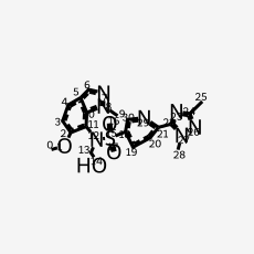 COc1ccc2cnn(C)c2c1N(CO)S(=O)(=O)c1ccc(-c2nc(C)nn2C)nc1